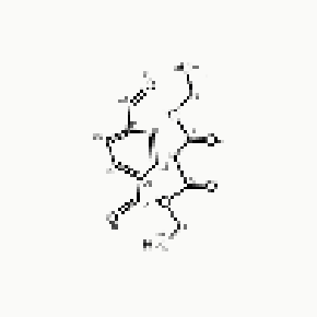 CCOC(=O)CC(=O)OCC.O=Cc1ccc(C=O)cc1